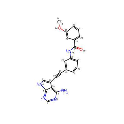 Nc1ncnc2[nH]cc(C#Cc3cccc(NC(=O)c4cccc(OC(F)(F)F)c4)c3)c12